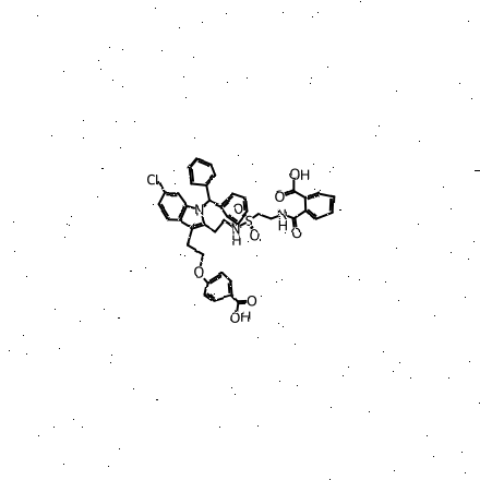 O=C(O)c1ccc(OCCc2c(CCNS(=O)(=O)CCNC(=O)c3ccccc3C(=O)O)n(C(c3ccccc3)c3ccccc3)c3cc(Cl)ccc23)cc1